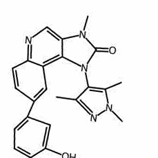 Cc1nn(C)c(C)c1-n1c(=O)n(C)c2cnc3ccc(-c4cccc(O)c4)cc3c21